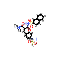 CCN(CC)C(=O)C(Cc1ccc(NS(C)(=O)=O)cc1)C(=O)NS(=O)(=O)c1ccc2ccccc2c1